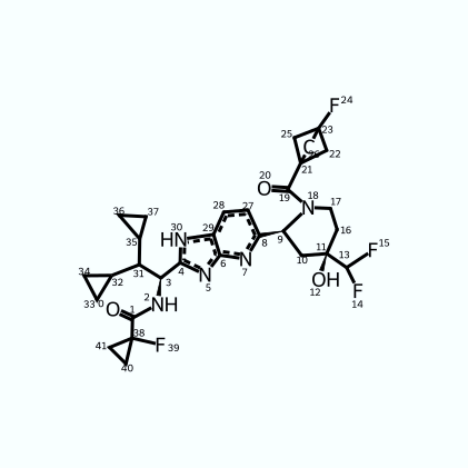 O=C(N[C@H](c1nc2nc([C@@H]3C[C@@](O)(C(F)F)CCN3C(=O)C34CC(F)(C3)C4)ccc2[nH]1)C(C1CC1)C1CC1)C1(F)CC1